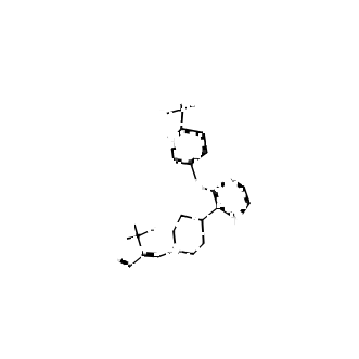 O=CC(=CN1CCC(c2nccnc2Oc2ccc(C(F)(F)F)nc2)CC1)C(F)(F)F